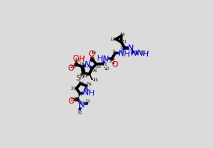 C[C@@H](NC(=O)CN/C(=N\N=N)C1CC1)C1C(=O)N2C(C(=O)O)=C(S[C@@H]3CN[C@H](C(=O)N(C)C)C3)[C@H](C)C12